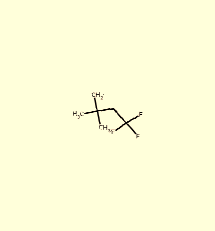 [CH2]C(C)(C)CC(F)(F)F